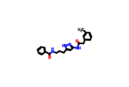 Cc1cccc(CC(=O)Nc2cc(CCCNC(=O)c3ccccc3)[nH]n2)c1